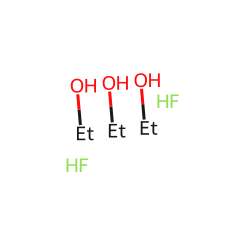 CCO.CCO.CCO.F.F